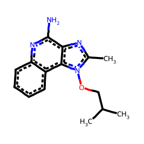 Cc1nc2c(N)nc3ccccc3c2n1OCC(C)C